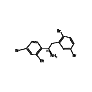 CCc1cc(Br)ccc1[C@H](N)Cc1cc(Br)ccc1Br